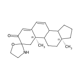 C[C@@]12CCCC1C1C=CC3=CC(=O)C4(C[C@]3(C)C1CC2)NCCO4